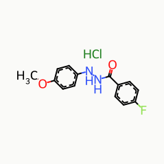 COc1ccc(NNC(=O)c2ccc(F)cc2)cc1.Cl